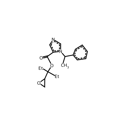 CCC(CC)(OC(=O)c1cncn1C(C)c1ccccc1)C1CO1